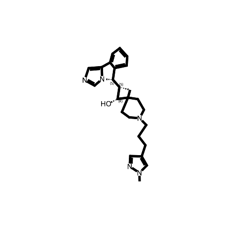 Cn1cc(CCCN2CCC3(CC2)C[C@@H]([C@H]2c4ccccc4-c4cncn42)[C@H]3O)cn1